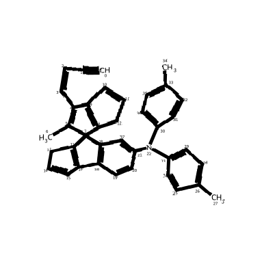 C#C/C=C\C1=C(C)C2(C3=C1C=CC3)C1=C(C=CC1)c1ccc(N(c3ccc(C)cc3)c3ccc(C)cc3)cc12